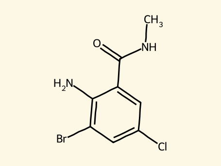 CNC(=O)c1cc(Cl)cc(Br)c1N